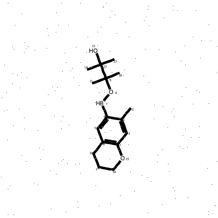 Cc1cc2c(cc1BOC(C)(C)C(C)(C)O)CCCO2